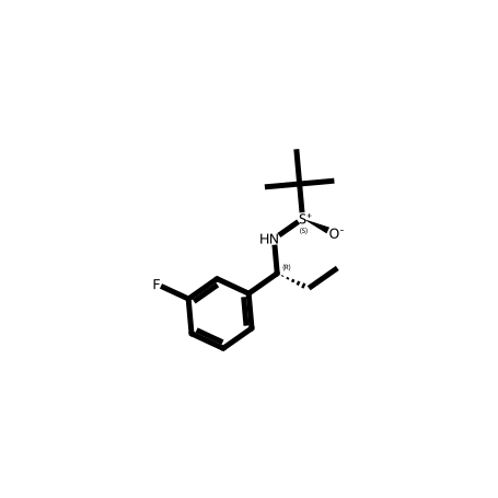 CC[C@@H](N[S@+]([O-])C(C)(C)C)c1cccc(F)c1